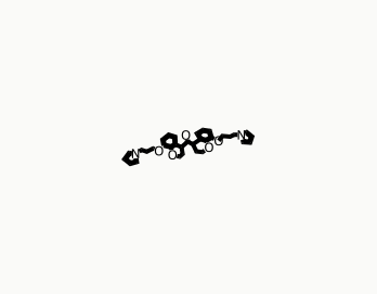 O=C(C1CCOc2c(OCCCn3cccc3)cccc21)C1CCOc2c(OCCCn3cccc3)cccc21